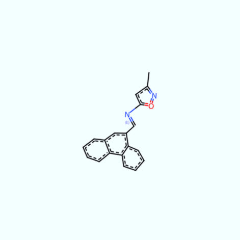 Cc1cc(/N=C/c2cc3ccccc3c3ccccc23)on1